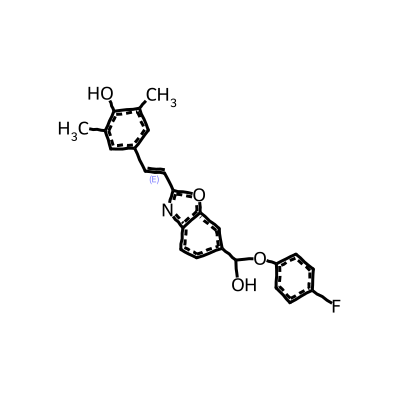 Cc1cc(/C=C/c2nc3ccc(C(O)Oc4ccc(F)cc4)cc3o2)cc(C)c1O